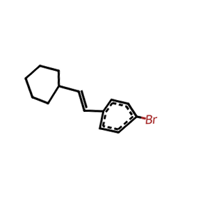 Brc1ccc(C=CC2CCCCC2)cc1